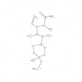 C=CC(C(O)C(N)=O)C(C)C(C)N1CCC(O)(CC(=O)O)CC1